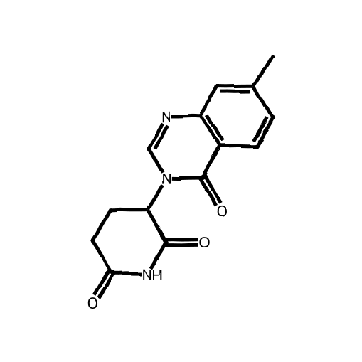 Cc1ccc2c(=O)n(C3CCC(=O)NC3=O)cnc2c1